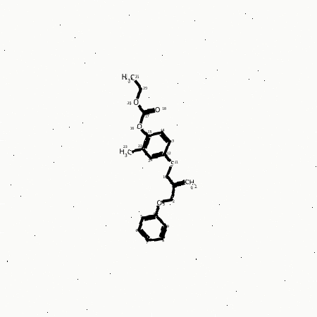 C=C(COc1ccccc1)CSc1ccc(OC(=O)OCC)c(C)c1